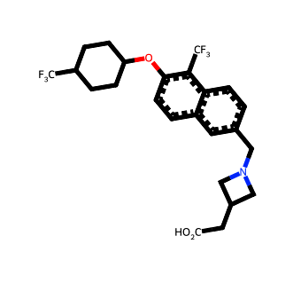 O=C(O)CC1CN(Cc2ccc3c(C(F)(F)F)c(OC4CCC(C(F)(F)F)CC4)ccc3c2)C1